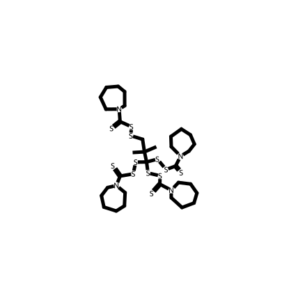 CC(C)(CSSC(=S)N1CCCCCC1)C(SSC(=S)N1CCCCCC1)(SSC(=S)N1CCCCCC1)SSC(=S)N1CCCCCC1